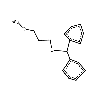 CCCCOCCCOC(c1ccccc1)c1ccccc1